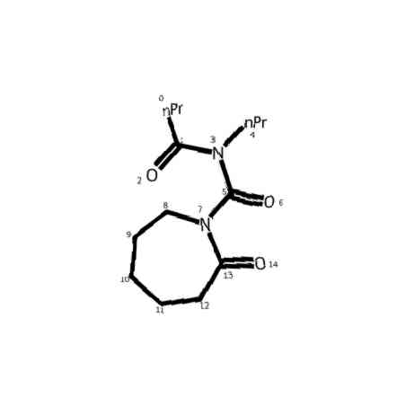 CCCC(=O)N(CCC)C(=O)N1CCCCCC1=O